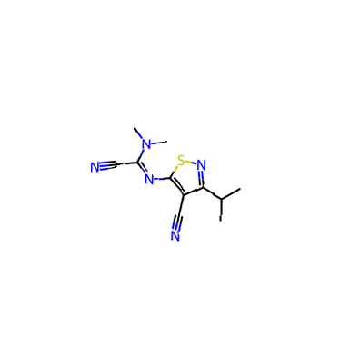 CC(C)c1nsc(/N=C(/C#N)N(C)C)c1C#N